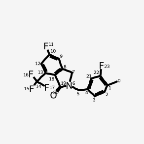 Cc1ccc(CN2Cc3cc(F)cc(C(F)(F)F)c3C2=O)cc1F